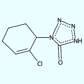 O=c1[nH]nnn1C1CCCC=C1Cl